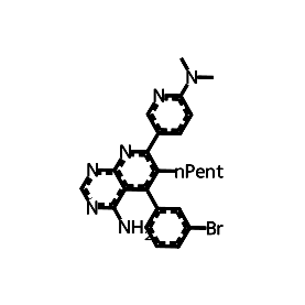 CCCCCc1c(-c2ccc(N(C)C)nc2)nc2ncnc(N)c2c1-c1cccc(Br)c1